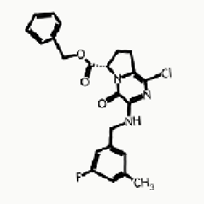 Cc1cc(F)cc(CNc2nc(Cl)c3n(c2=O)[C@H](C(=O)OCc2ccccc2)CC3)c1